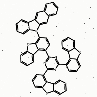 c1ccc2cc3c(cc2c1)c1ccccc1n3-c1ccc(-c2nc(-c3cccc4sc5ccccc5c34)nc(-c3cccc4sc5ccccc5c34)n2)c2c1oc1ccccc12